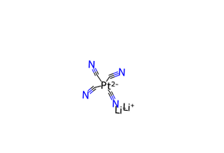 N#[C][Pt-2]([C]#N)([C]#N)[C]#N.[Li+].[Li+]